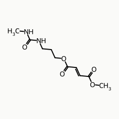 CNC(=O)NCCCOC(=O)/C=C/C(=O)OC